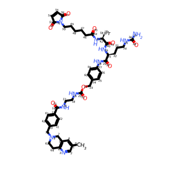 Cc1cnc2c(c1)CN(Cc1ccc(C(=O)NCCNC(=O)OCc3ccc(NC(=O)[C@H](CCCNC(N)=O)NC(=O)[C@@H](NC(=O)CCCCCN4C(=O)C=CC4=O)C(C)C)cc3)cc1)CC2